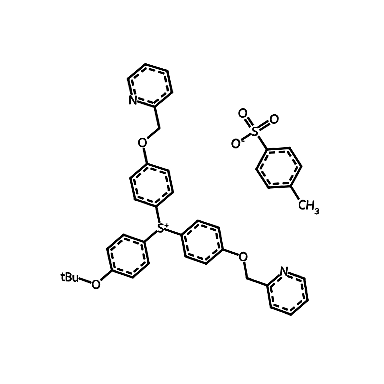 CC(C)(C)Oc1ccc([S+](c2ccc(OCc3ccccn3)cc2)c2ccc(OCc3ccccn3)cc2)cc1.Cc1ccc(S(=O)(=O)[O-])cc1